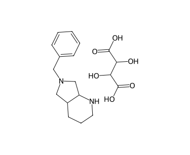 O=C(O)C(O)C(O)C(=O)O.c1ccc(CN2CC3CCCNC3C2)cc1